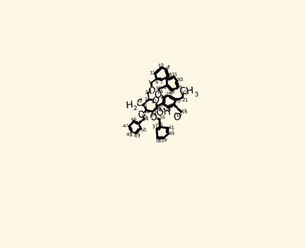 C=C1[C@@H](COCc2ccccc2)OC(O)(c2cc(C=O)c(CC)cc2OCc2ccccc2)[C@H](OCc2ccccc2)[C@H]1OCc1ccccc1